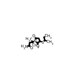 CCC(C)SC1CC(=O)N(C(C)(C)CC(N)=O)C1=O